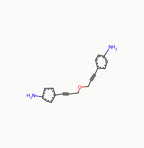 Nc1ccc(C#CCOCC#Cc2ccc(N)cc2)cc1